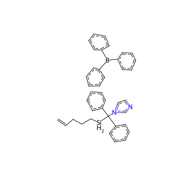 C=CCCC[SiH2]C(c1ccccc1)(c1ccccc1)n1ccnc1.c1ccc(B(c2ccccc2)c2ccccc2)cc1